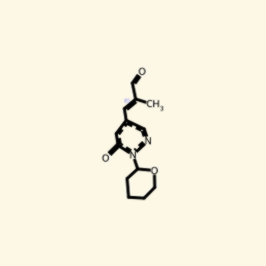 C/C(C=O)=C\c1cnn(C2CCCCO2)c(=O)c1